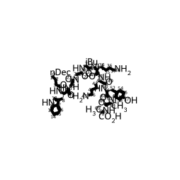 CCCCCCCCCCCCCC(=O)N[C@@H](Cc1c[nH]c2ccccc12)C(=O)NCC(=O)NCC(=O)N[C@H](C(=O)N[C@@H](CCCCN)C(=O)N[C@@H](CCCCN)C(=O)N[C@@H](Cc1ccc(O)cc1)C(=O)N[C@@H](C)C(=O)N[C@@H](C)C(=O)O)[C@@H](C)CC